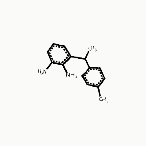 Cc1ccc(C(C)c2cccc(N)c2N)cc1